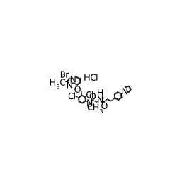 Cc1nc2c(OCc3c(Cl)ccc(N(C)C(=O)CNC(=O)C=Cc4ccc(-n5cccc5)cc4)c3Cl)cccn2c1Br.Cl